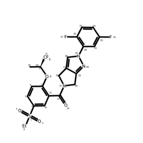 CCS(=O)(=O)c1ccc(O[C@@H](C)C(F)(F)F)c(C(=O)N2Cc3cn(-c4cc(F)ccc4F)nc3C2)c1